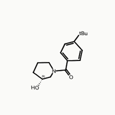 CC(C)(C)c1ccc(C(=O)N2CCC[C@@H](O)C2)cc1